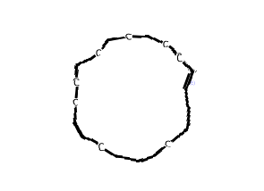 [C]1=C/CCCCCCCCCCCCCCCCCC/1